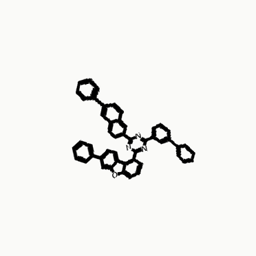 c1ccc(-c2cccc(-c3nc(-c4ccc5cc(-c6ccccc6)ccc5c4)nc(-c4cccc5oc6cc(-c7ccccc7)ccc6c45)n3)c2)cc1